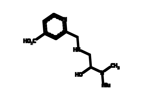 CCCCN(C)C(O)CNCc1cc(C(=O)O)ccn1